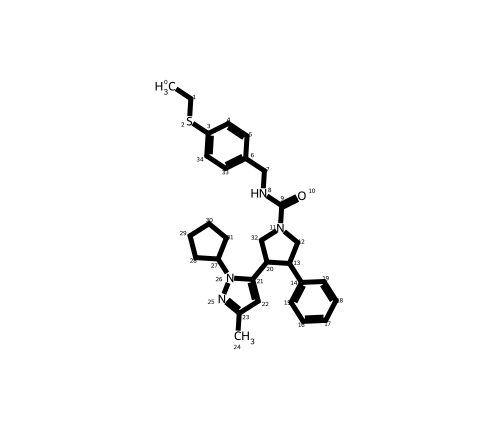 CCSc1ccc(CNC(=O)N2CC(c3ccccc3)C(c3cc(C)nn3C3CCCC3)C2)cc1